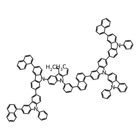 C=Cc1c(/C=C\C)n(-c2cccc(-c3cccc4c(-c5ccc6c(c5)c5ccc(-c7ccc8c(c7)c7cc(-c9cccc%10ccccc9%10)ccc7n8-c7ccccc7)cc5n6-c5ccc6c7ccccc7n(-c7ccccc7)c6c5)cccc34)c2)c2ccc(-n3c4ccc(-c5cccc6ccccc56)cc4c4ccc(-c5ccc6c(c5)c5cc(-c7cccc8ccccc78)ccc5n6-c5ccccc5)cc43)cc12